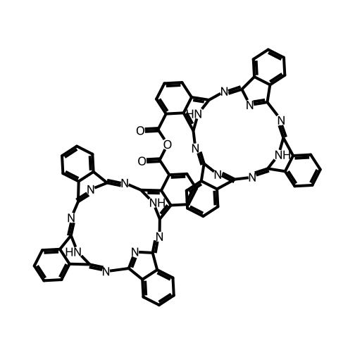 O=C(OC(=O)c1cccc2c3nc4nc(nc5[nH]c(nc6nc(nc([nH]3)c12)-c1ccccc1-6)c1ccccc51)-c1ccccc1-4)c1cccc2c3nc4nc(nc5[nH]c(nc6nc(nc([nH]3)c12)-c1ccccc1-6)c1ccccc51)-c1ccccc1-4